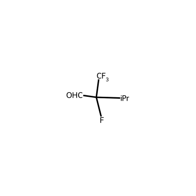 CC(C)C(F)(C=O)C(F)(F)F